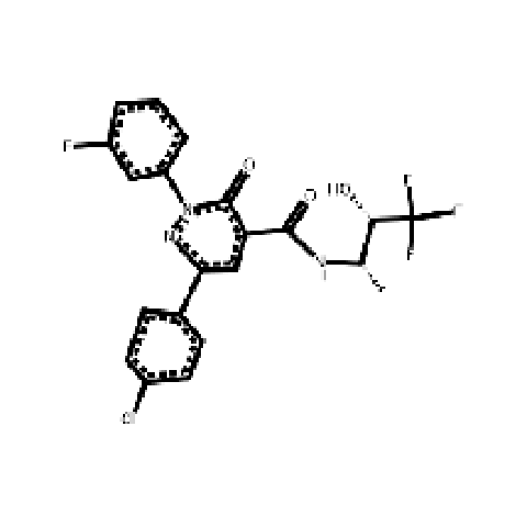 C[C@H](NC(=O)c1cc(-c2ccc(Cl)cc2)nn(-c2cccc(F)c2)c1=O)[C@H](O)C(F)(F)F